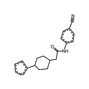 N#Cc1ccc(NC(=O)CC2CCC(c3ccccc3)CC2)cc1